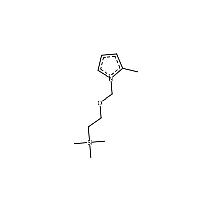 Cc1cccn1COCC[Si](C)(C)C